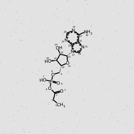 CCC(=O)OP(=O)(O)OC[C@H]1O[C@@H](n2cnc3c(N)ncnc32)[C@H](O)[C@@H]1O